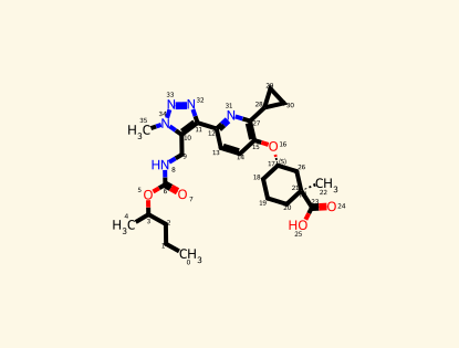 CCCC(C)OC(=O)NCc1c(-c2ccc(O[C@H]3CCC[C@](C)(C(=O)O)C3)c(C3CC3)n2)nnn1C